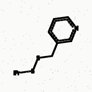 CC(C)SSCc1cccnc1